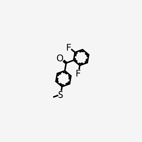 CSc1ccc(C(=O)c2c(F)cccc2F)cc1